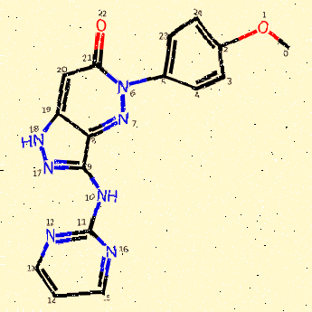 COc1ccc(-n2nc3c(Nc4ncccn4)n[nH]c3cc2=O)cc1